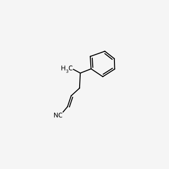 CC(CC=CC#N)c1ccccc1